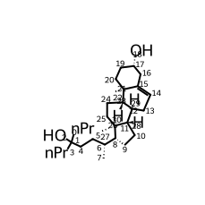 CCCC(O)(CCC)CC[C@@H](C)[C@H]1CC[C@H]2[C@@H]3CC=C4C[C@@H](O)CC[C@]4(C)[C@H]3CC[C@]12C